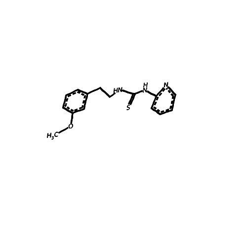 COc1cccc(CCNC(=S)Nc2ccccn2)c1